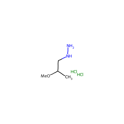 COC(C)CNN.Cl.Cl